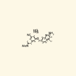 CN[C@H](C)Cc1cc(C#N)cc(OCc2ccc3c(C)cc(N)nc3c2)c1.Cl.Cl